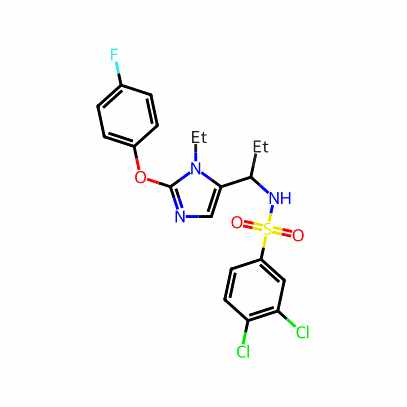 CCC(NS(=O)(=O)c1ccc(Cl)c(Cl)c1)c1cnc(Oc2ccc(F)cc2)n1CC